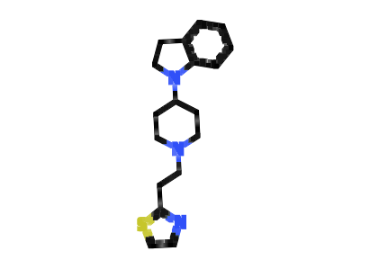 c1ccc2c(c1)CCN2C1CCN(CCc2nccs2)CC1